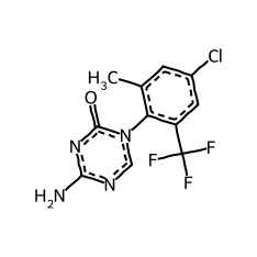 Cc1cc(Cl)cc(C(F)(F)F)c1-n1cnc(N)nc1=O